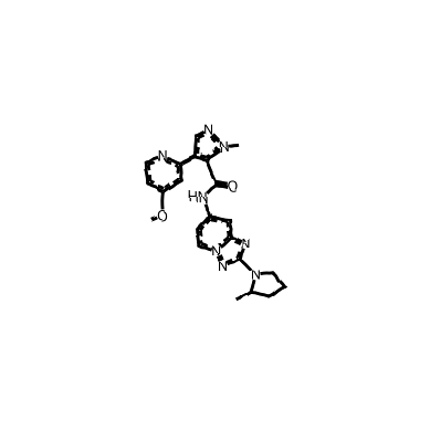 COc1ccnc(-c2cnn(C)c2C(=O)Nc2ccn3nc(N4CCCC4C)nc3c2)c1